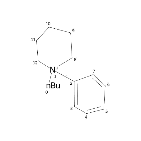 CCCC[N+]1(c2ccccc2)CCCCC1